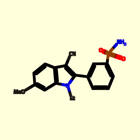 CCn1c(-c2cccc(S(N)(=O)=O)c2)c(C#N)c2ccc(OC)cc21